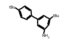 CC(C)(C)c1ccc(-c2cc(N)cc(C(C)(C)C)c2)cc1